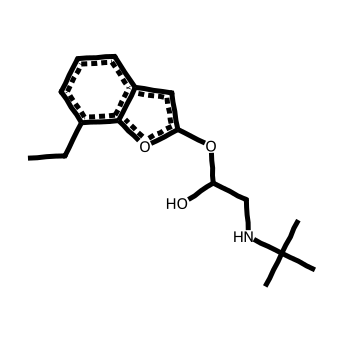 CCc1cccc2cc(OC(O)CNC(C)(C)C)oc12